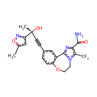 Cc1cc([C@](C)(O)C#Cc2ccc3c(c2)-c2nc(C(N)=O)c(C(F)(F)F)n2CCO3)no1